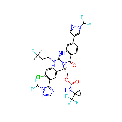 CC(C)(F)CCNC(=N)N(C(=O)c1ccc(-c2cnn(C(F)F)c2)cc1)[C@H](COC(=O)NC1(C(F)(F)F)CC1)c1ccc(Cl)c(-c2ncnn2C(F)F)c1